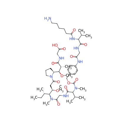 CC[C@H](C)[C@@H]([C@@H](CC(=O)N1CCC[C@H]1[C@H](OC)[C@@H](C)C(=O)NCC(=O)O)OC)N(C)C(=O)CNC(=O)C(C(C)C)N(C)C(=O)OCc1ccc(NC(=O)CNC(=O)C(NC(=O)CCCCCN)C(C)C)cc1